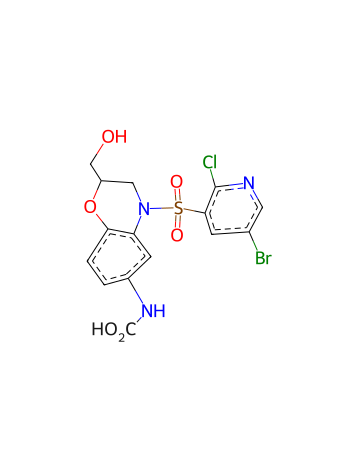 O=C(O)Nc1ccc2c(c1)N(S(=O)(=O)c1cc(Br)cnc1Cl)CC(CO)O2